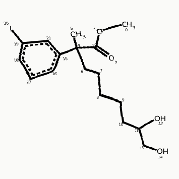 COC(=O)C(C)(CCCCCC(O)CO)c1cccc(I)c1